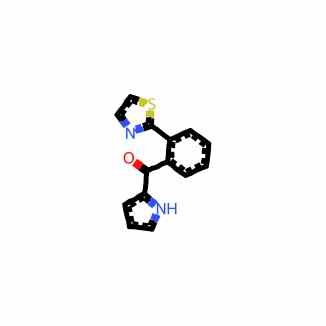 O=C(c1ccc[nH]1)c1ccccc1-c1nccs1